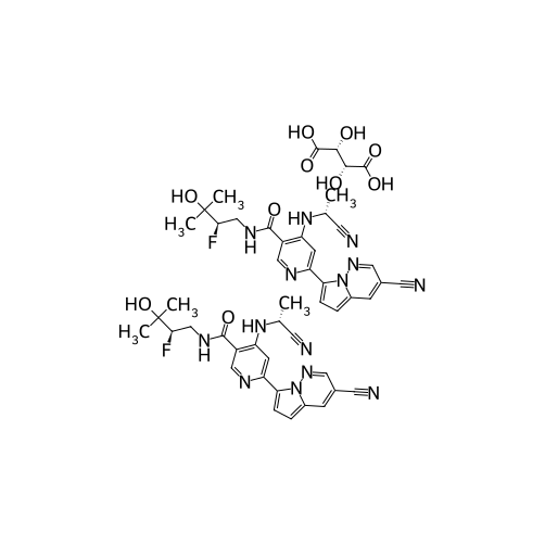 C[C@H](C#N)Nc1cc(-c2ccc3cc(C#N)cnn23)ncc1C(=O)NC[C@@H](F)C(C)(C)O.C[C@H](C#N)Nc1cc(-c2ccc3cc(C#N)cnn23)ncc1C(=O)NC[C@@H](F)C(C)(C)O.O=C(O)[C@H](O)[C@@H](O)C(=O)O